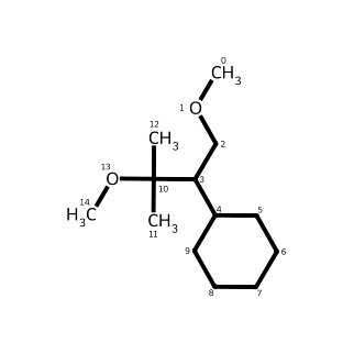 COCC(C1CCCCC1)C(C)(C)OC